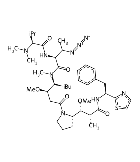 CC[C@H](C)[C@@H]([C@@H](CC(=O)N1CCC[C@H]1[C@H](OC)[C@@H](C)C(=O)N[C@@H](Cc1ccccc1)c1nccs1)OC)N(C)C(=O)[C@@H](NC(=O)[C@H](C(C)C)N(C)C)C(C)N=[N+]=[N-]